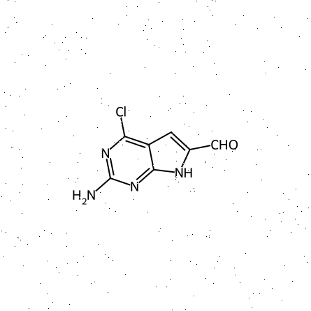 Nc1nc(Cl)c2cc(C=O)[nH]c2n1